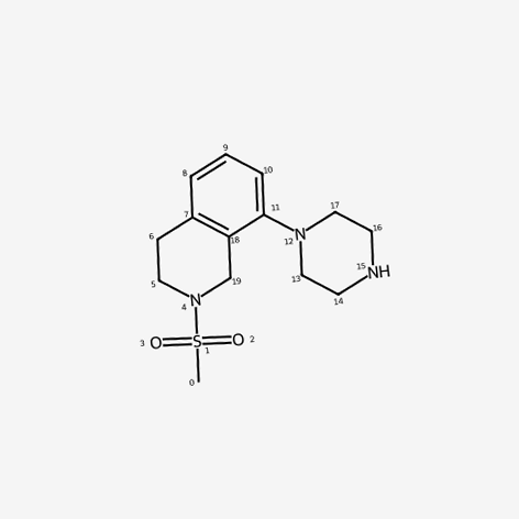 CS(=O)(=O)N1CCc2cccc(N3CCNCC3)c2C1